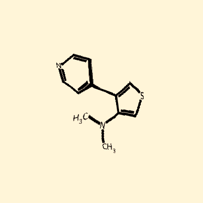 CN(C)c1cs[c]c1-c1ccncc1